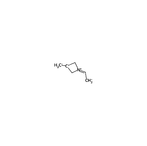 [CH2-]C=[N+]1C[C+]([CH2-])C1